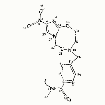 CN(C)C(=O)c1ccc(CN2CCOc3nc([N+](=O)[O-])cn3CC2)cc1